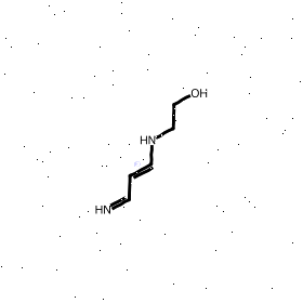 N=C/C=C/NCCO